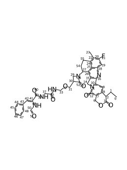 CCC1C(=O)OCc2c1cc1n(c2=O)Cc2c-1nc1cc(F)c(C)c3c1c2C(N1CC(COCNC(=O)CNC(=O)/C(=C/c2ccccc2)NC=O)C1=O)CC3